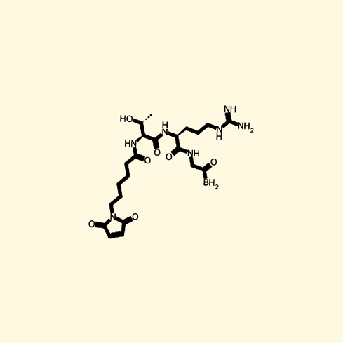 BC(=O)CNC(=O)[C@H](CCCNC(=N)N)NC(=O)[C@@H](NC(=O)CCCCCN1C(=O)C=CC1=O)[C@@H](C)O